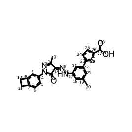 CC1=NN(c2ccc3c(c2)CC3)C(=O)C1=NNc1cc(C)cc(-c2ccc(C(=O)O)s2)c1